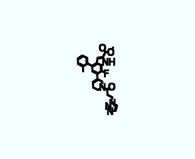 COC(=O)c1cc2c(-c3ccccc3C)cc(C3=CCCN(C(=O)CCn4ccnn4)C3)c(F)c2[nH]1